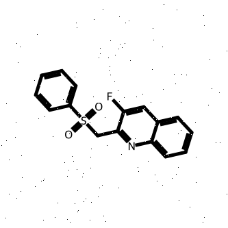 O=S(=O)(Cc1nc2ccccc2cc1F)c1ccccc1